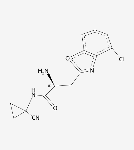 N#CC1(NC(=O)[C@@H](N)Cc2nc3c(Cl)cccc3o2)CC1